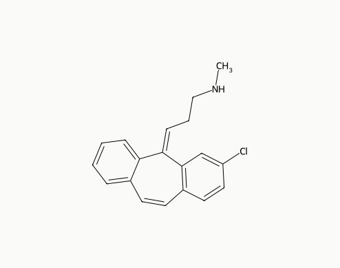 CNCCC=C1c2ccccc2C=Cc2ccc(Cl)cc21